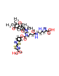 CC1=C(C)C(=O)C(C(C)(C)CC(=O)N(C)CCN(CCCC(=O)NCCCCC(N)C(=O)O)C(=O)Oc2ccc3nc(C4=NC(C(=O)O)CS4)sc3c2)=C(C)C1=O